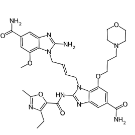 CCc1nc(C)oc1C(=O)Nc1nc2cc(C(N)=O)cc(OCCCN3CCOCC3)c2n1C/C=C/Cn1c(N)nc2cc(C(N)=O)cc(OC)c21